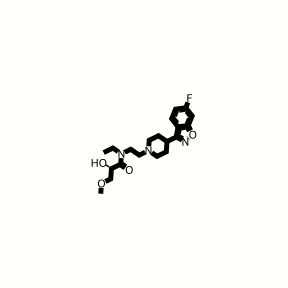 CCN(CCN1CCC(c2noc3cc(F)ccc23)CC1)C(=O)[C@@H](O)COC